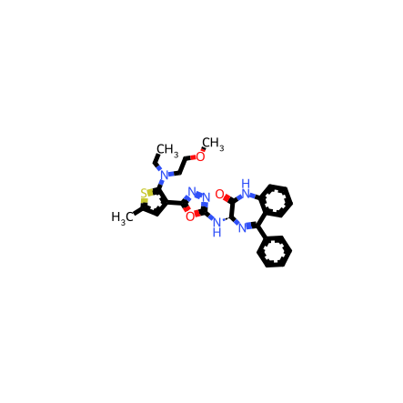 CCN(CCOC)c1sc(C)cc1-c1nnc(N[C@H]2N=C(c3ccccc3)c3ccccc3NC2=O)o1